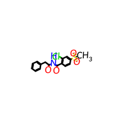 CS(=O)(=O)c1ccc(C(=O)NC(=O)Cc2ccccc2)c(Cl)c1